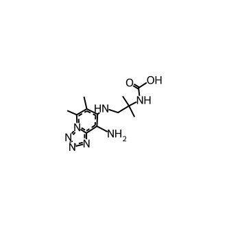 Cc1c(NCC(C)(C)NC(=O)O)c(N)c2nnnn2c1C